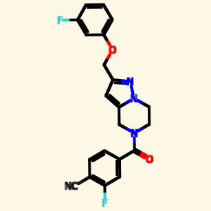 N#Cc1ccc(C(=O)N2CCn3nc(COc4cccc(F)c4)cc3C2)cc1F